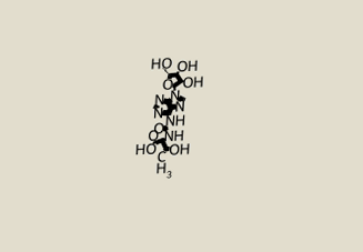 CC(O)[C@H](NC(=O)Nc1ncnc2c1ncn2[C@H]1O[C@H](CO)[C@@H](O)[C@H]1O)C(=O)O